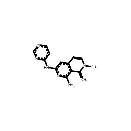 C=C1c2c(cc(Nc3ccncn3)nc2N)C=CN1C